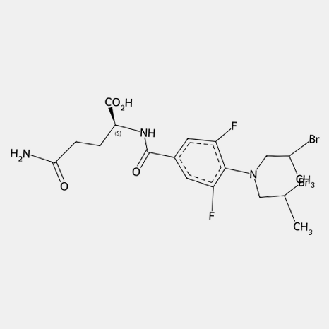 CC(Br)CN(CC(C)Br)c1c(F)cc(C(=O)N[C@@H](CCC(N)=O)C(=O)O)cc1F